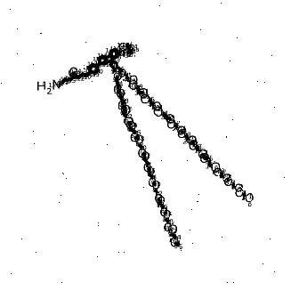 COCCOOCCOOCCOOCCOOCCOOCCOOCCOOCCOOCCOOCCOOCCOCCCC1(CCCOCCOOCCOOCCOOCCOOCCOOCCOOCCOOCCOOCCOOCCOOCCOC)c2cc(B3OC(C)(C)C(C)(C)O3)ccc2-c2ccc(-c3ccc(CCCC(=O)CCCN)cc3)cc21